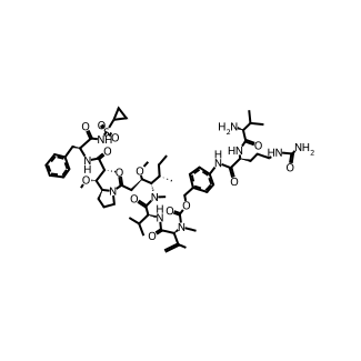 C=C(C)[C@@H](C(=O)N[C@H](C(=O)N(C)[C@@H]([C@@H](C)CC)[C@@H](CC(=O)N1CCC[C@H]1[C@H](OC)[C@@H](C)C(=O)N[C@@H](Cc1ccccc1)C(=O)NS(=O)(=O)C1CC1)OC)C(C)C)N(C)C(=O)OCc1ccc(NC(=O)[C@H](CCCNC(N)=O)NC(=O)[C@@H](N)C(C)C)cc1